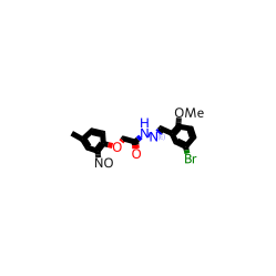 COc1ccc(Br)cc1/C=N/NC(=O)COc1ccc(C)cc1N=O